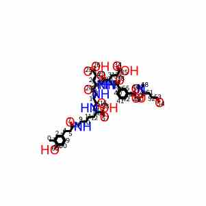 Cc1cc(CCC(=O)NCCCCC(NC(=O)CNC(=O)C(CCC(=O)O)NC(=O)C(CCC(=O)O)NC(=O)c2cccc(C(=O)ON(C)C(=O)CCC=O)c2)C(=O)O)ccc1O